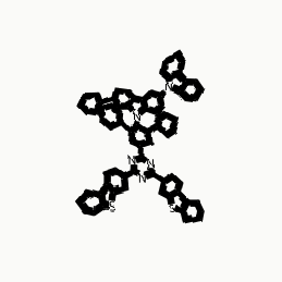 c1ccc(-c2ccc3c4cc(-n5c6ccccc6c6ccccc65)ccc4n(-c4c(-c5ccccc5)cc(-c5nc(-c6ccc7c(c6)sc6ccccc67)nc(-c6ccc7c(c6)sc6ccccc67)n5)cc4-c4ccccc4)c3c2)cc1